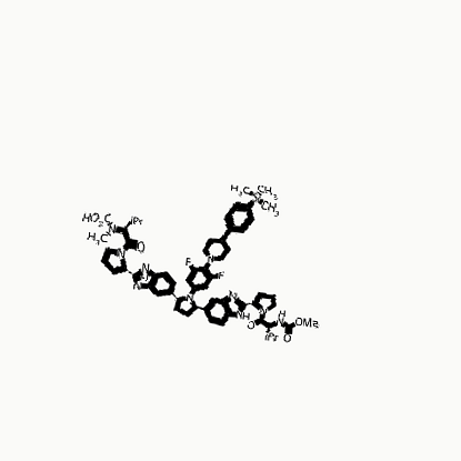 COC(=O)N[C@H](C(=O)N1CCC[C@H]1c1nc2cc([C@H]3CC[C@H](c4ccc5[nH]c([C@@H]6CCCN6C(=O)[C@H](C(C)C)N(C)C(=O)O)nc5c4)N3c3cc(F)c(N4CCC(c5ccc([Si](C)(C)C)cc5)CC4)c(F)c3)ccc2[nH]1)C(C)C